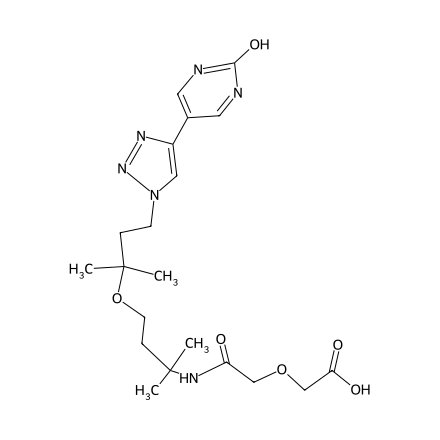 CC(C)(CCOC(C)(C)CCn1cc(-c2cnc(O)nc2)nn1)NC(=O)COCC(=O)O